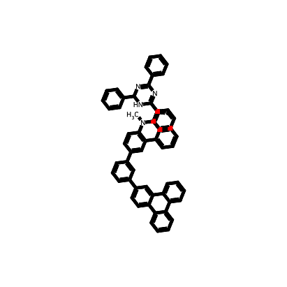 CN(c1ccccc1)c1ccc(-c2cccc(-c3ccc4c5ccccc5c5ccccc5c4c3)c2)cc1-c1ccccc1CC(=O)C1=NC(c2ccccc2)=NC(c2ccccc2)N1